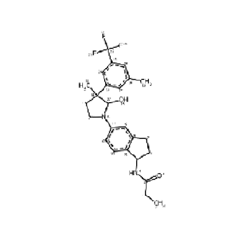 CCC(=O)NC1CCc2cc(N3CCC(C)(c4cc(C)cc(C(F)(F)F)c4)C3O)ccc21